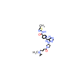 Cc1cnc(NC(=O)c2ccc(-c3nn(C4CCN(C(=O)C=CCN(C)C5CC5)C4)c4ncnc(N)c34)cc2)s1